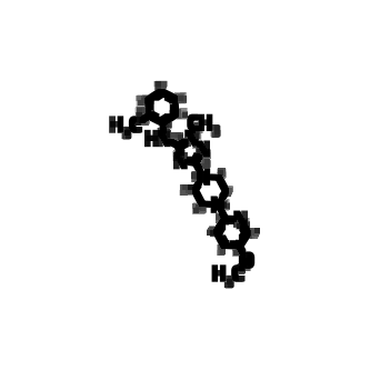 COc1ccc(N2CCN(c3nc(Nc4ccccc4C)n(C)n3)CC2)nc1